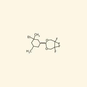 CCC1(C)CC(=C2OCC(F)(F)C(F)(F)CO2)CC(C)C1